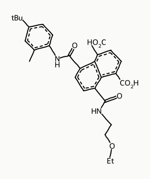 CCOCCNC(=O)c1ccc(C(=O)Nc2ccc(C(C)(C)C)cc2C)c2c(C(=O)O)ccc(C(=O)O)c12